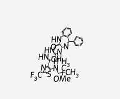 COC(C)(C)CNc1sc(C(F)(F)F)nc1C(=N)OC(=N)NC1N=C(c2ccccc2)c2ccccc2NC1=O